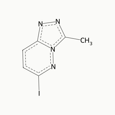 Cc1nnc2ccc(I)nn12